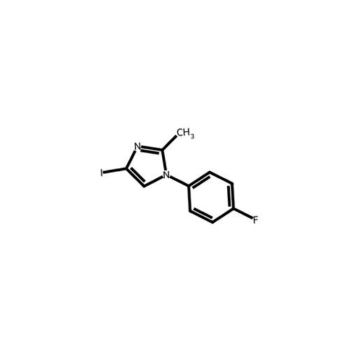 Cc1nc(I)cn1-c1ccc(F)cc1